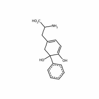 NC(CC1=CC=C(O)C(O)(c2ccccc2)C1)C(=O)O